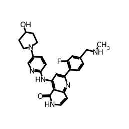 CNCc1ccc(-c2cc(Nc3ccc(N4CCC(O)CC4)cn3)c3c(=O)[nH]ccc3n2)c(F)c1